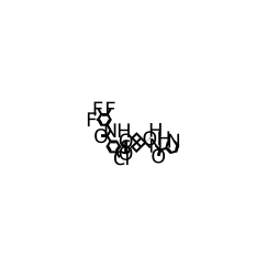 O=C(NC[C@]1(O)C2CCC23C1CC3S(=O)(=O)c1cc(C(=O)Nc2cc(F)c(F)c(F)c2)ccc1Cl)c1cccnc1